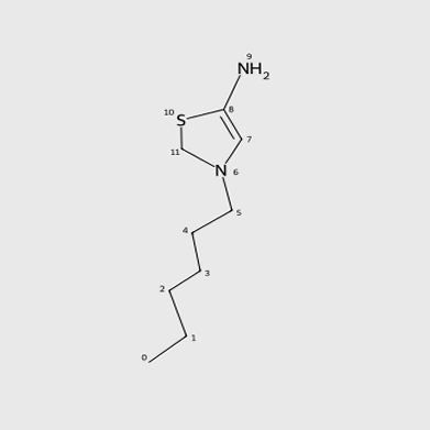 CCCCCCN1C=C(N)SC1